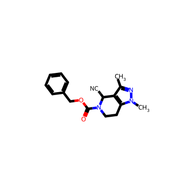 Cc1nn(C)c2c1C(C#N)N(C(=O)OCc1ccccc1)CC2